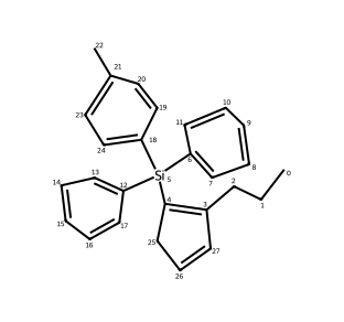 CCCC1=C([Si](c2ccccc2)(c2ccccc2)c2ccc(C)cc2)CC=C1